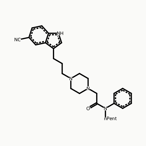 CCCCCN(C(=O)CN1CCN(CCCc2c[nH]c3ccc(C#N)cc23)CC1)c1ccccc1